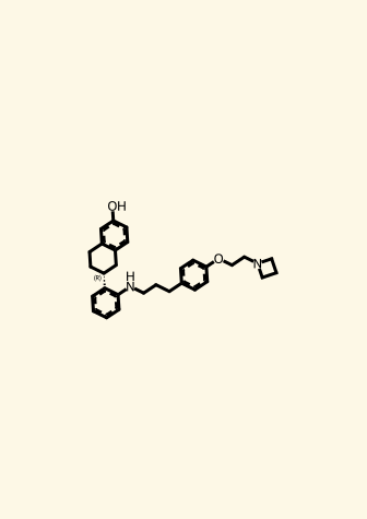 Oc1ccc2c(c1)CC[C@@H](c1ccccc1NCCCc1ccc(OCCN3CCC3)cc1)C2